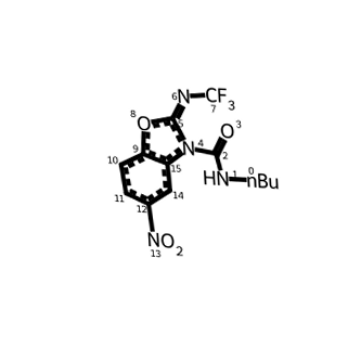 CCCCNC(=O)n1/c(=N\C(F)(F)F)oc2ccc([N+](=O)[O-])cc21